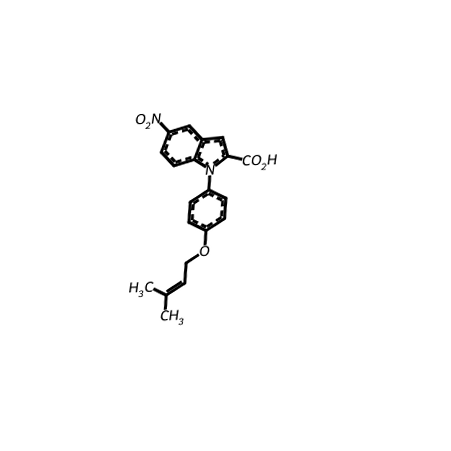 CC(C)=CCOc1ccc(-n2c(C(=O)O)cc3cc([N+](=O)[O-])ccc32)cc1